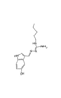 CCCCCNC(N)=NN=Cc1c[nH]c2ccc(O)cc12